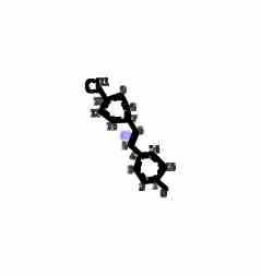 Cc1ccc(/C=C/c2ccc(Cl)cc2)cc1